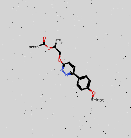 CCCCCCCOc1ccc(-c2ccc(OCC(OC(=O)CCCCCC)C(F)(F)F)nn2)cc1